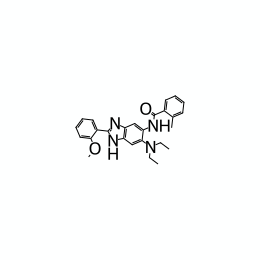 CCN(CC)c1cc2[nH]c(-c3ccccc3OC)nc2cc1NC(=O)c1ccccc1C